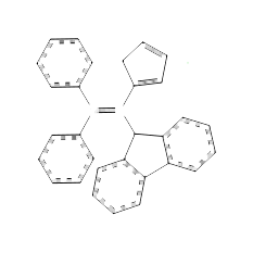 C1=CC[C]([Ti]([CH]2c3ccccc3-c3ccccc32)=[Si](c2ccccc2)c2ccccc2)=C1.Cl.Cl